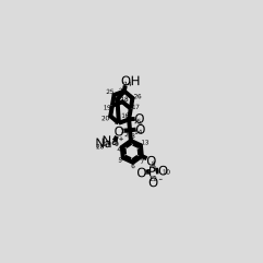 COC1(c2cccc(OP(=O)([O-])[O-])c2)OOC12C1CC3CC2CC(O)(C3)C1.[Na+].[Na+]